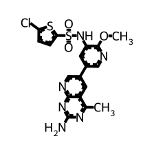 COc1ncc(-c2cnc3nc(N)nc(C)c3c2)cc1NS(=O)(=O)c1ccc(Cl)s1